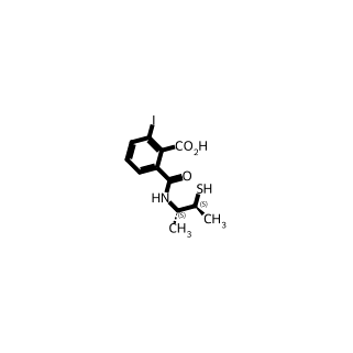 C[C@H](S)[C@H](C)NC(=O)c1cccc(I)c1C(=O)O